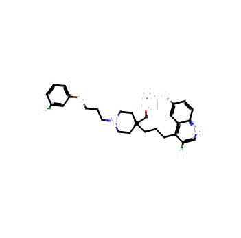 COc1ccc2ncc(Cl)c(CCCC3(CO)CCN(CCCSc4cccc(F)c4)CC3)c2c1